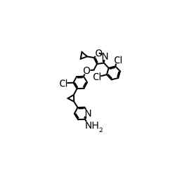 Nc1ccc(C2CC2c2ccc(OCc3c(-c4c(Cl)cccc4Cl)noc3C3CC3)cc2Cl)cn1